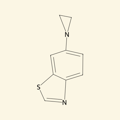 c1nc2ccc(N3CC3)cc2s1